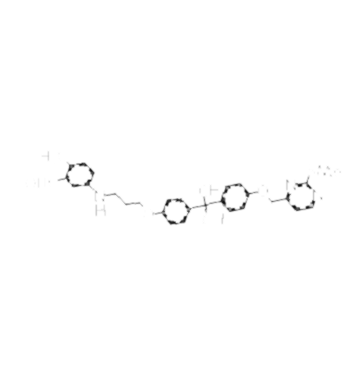 CSc1nccc(COc2ccc(C(C)(C)c3ccc(OCCCNc4ccc(C)c(C=O)c4)cc3)cc2)n1